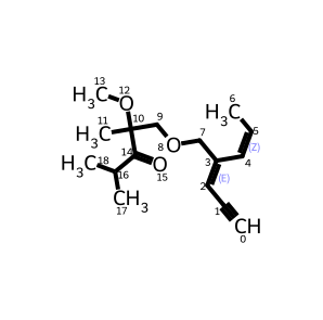 C#C/C=C(\C=C/C)COCC(C)(OC)C(=O)C(C)C